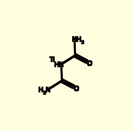 NC(=O)NC(N)=O.[Ti]